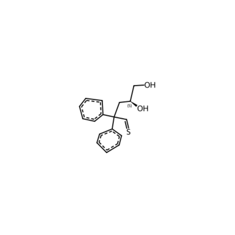 OC[C@@H](O)CC(C=S)(c1ccccc1)c1ccccc1